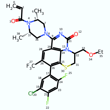 C=CC(=O)N1[C@H](C)CN(c2nc(=O)n3c4c(c(-c5cc(Cl)c(F)cc5F)c(C(F)(F)F)cc24)SCC3COCC)C[C@@H]1C